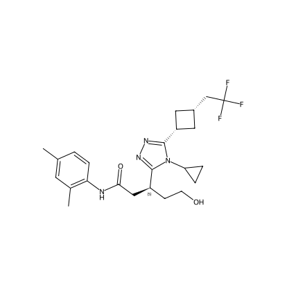 Cc1ccc(NC(=O)C[C@H](CCO)c2nnc([C@H]3C[C@@H](CC(F)(F)F)C3)n2C2CC2)c(C)c1